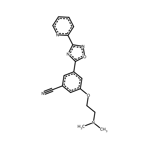 CN(C)CCOc1cc(C#N)cc(-c2nc(-c3ccccn3)no2)c1